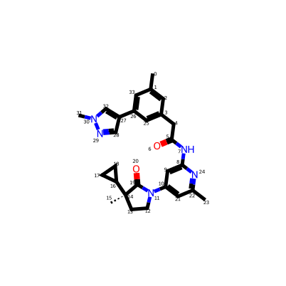 Cc1cc(CC(=O)Nc2cc(N3CC[C@@](C)(C4CC4)C3=O)cc(C)n2)cc(-c2cnn(C)c2)c1